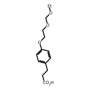 CCOCOCCOc1ccc(CCC(=O)O)cc1